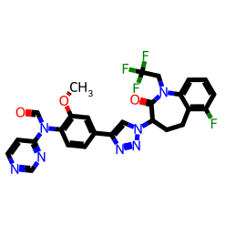 COc1cc(-c2cn(C3CCc4c(F)cccc4N(CC(F)(F)F)C3=O)nn2)ccc1N(C=O)c1ccncn1